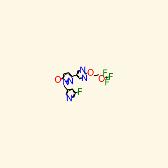 O=c1ccc(-c2cnc(OCCOC(F)(F)F)nc2)nn1Cc1cncc(F)c1